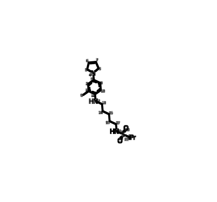 Cc1cc(N2CC=CC2)ccc1NCCCCCNS(=O)(=O)C(C)C